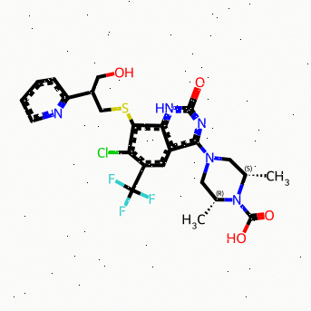 C[C@@H]1CN(c2nc(=O)[nH]c3c(SCC(CO)c4ccccn4)c(Cl)c(C(F)(F)F)cc23)C[C@H](C)N1C(=O)O